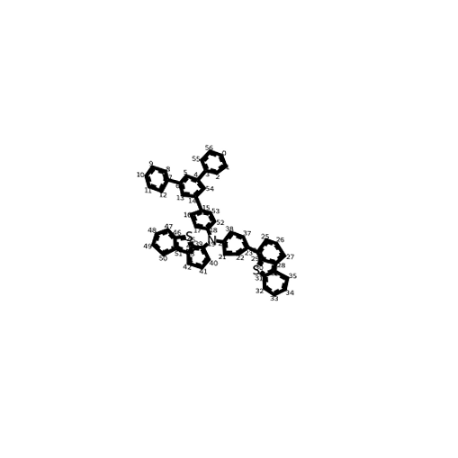 c1ccc(-c2cc(-c3ccccc3)cc(-c3ccc(N(c4ccc(-c5cccc6c5sc5ccccc56)cc4)c4cccc5c4sc4ccccc45)cc3)c2)cc1